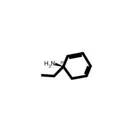 CC[C@]1(N)C=CC=CC1